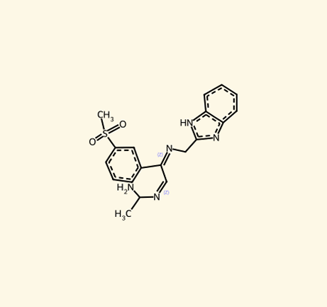 CC(N)/N=C\C(=N/Cc1nc2ccccc2[nH]1)c1cccc(S(C)(=O)=O)c1